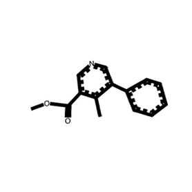 COC(=O)c1cn[c]c(-c2ccccc2)c1C